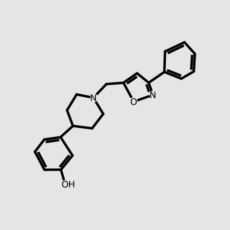 Oc1cccc(C2CCN(Cc3cc(-c4ccccc4)no3)CC2)c1